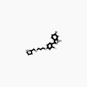 Fc1cc(OCCCOCC2CCCN2)ccc1-c1n[nH]c2cc(Br)ccc12